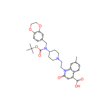 Cc1ccc2c(C(=O)O)cc(=O)n(CCN3CCC(N(Cc4ccc5c(c4)OCCO5)C(=O)OC(C)(C)C)CC3)c2c1